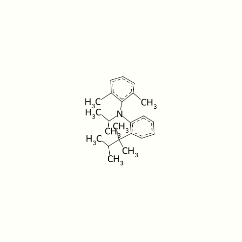 Cc1cccc(C)c1N(c1ccccc1C(C)(C)C(C)C)C(C)C